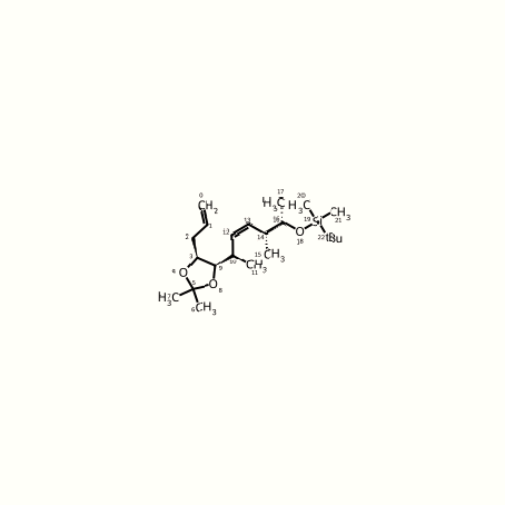 C=CC[C@@H]1OC(C)(C)O[C@@H]1C(C)/C=C\[C@@H](C)[C@H](C)O[Si](C)(C)C(C)(C)C